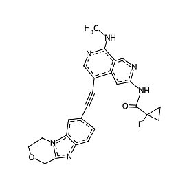 CNc1ncc(C#Cc2ccc3nc4n(c3c2)CCOC4)c2cc(NC(=O)C3(F)CC3)ncc12